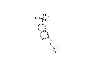 CC(C)NCCc1ccc2ccc([Si](C)(O)O)cc2c1